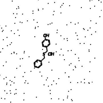 Cl.Oc1ccc(CSCc2ccccc2)cc1